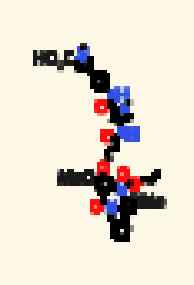 C=CCOC(=O)N1c2cc(OCCCC(=O)Nc3cc(C(=O)Nc4ccc(-c5cc(C(=O)O)n(C)c5)cc4)n(C)c3)c(OC)cc2C(=O)N2Cc3ccccc3C[C@H]2C1OC